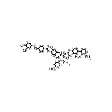 CC[C@@H](c1ccccc1)N1Cc2cc3c(cc2C[C@H]1C(=O)NC(Cc1ccc(-c2ccnc(C)c2C)cc1)C(=O)O)OC[C@H](c1ccc(OCc2ccc(Cl)c(Cl)c2)cc1)O3.Cl